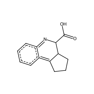 O=C(O)C1N=c2ccccc2=C2CCCC21